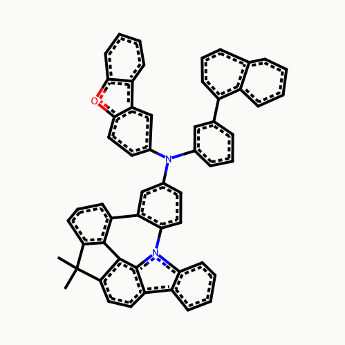 CC1(C)c2cccc3c2-c2c1ccc1c4ccccc4n(c21)-c1ccc(N(c2cccc(-c4cccc5ccccc45)c2)c2ccc4oc5ccccc5c4c2)cc1-3